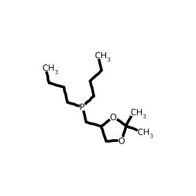 CCCCP(CCCC)CC1COC(C)(C)O1